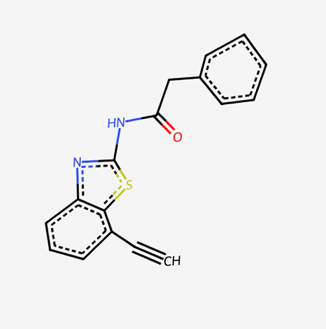 C#Cc1cccc2nc(NC(=O)Cc3ccccc3)sc12